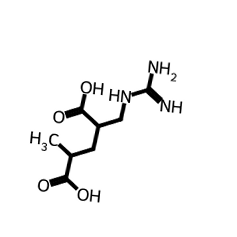 CC(CC(CNC(=N)N)C(=O)O)C(=O)O